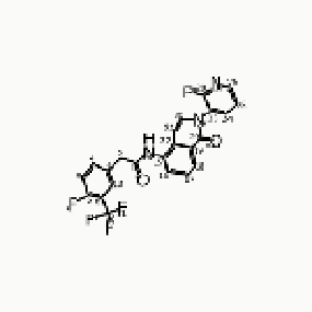 O=C(Cc1ccc(F)c(C(F)(F)F)c1)Nc1cccc2c(=O)n(-c3cccnc3F)ccc12